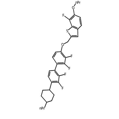 CCCOc1ccc2cc(COc3ccc(-c4ccc(C5CCC(CCC)CC5)c(F)c4F)c(F)c3F)sc2c1F